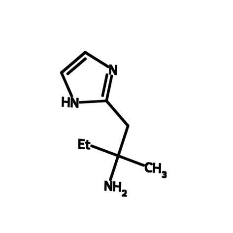 CCC(C)(N)Cc1ncc[nH]1